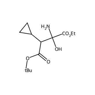 CCOC(=O)C(N)(O)C(C(=O)OC(C)(C)C)C1CC1